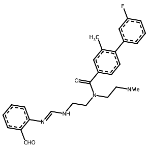 CNCCN(CCN/C=N/c1ccccc1C=O)C(=O)c1ccc(-c2cccc(F)c2)c(C)c1